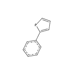 C1=C[P]C(c2ccccc2)=C1